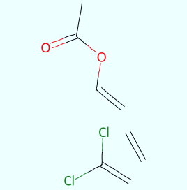 C=C.C=C(Cl)Cl.C=COC(C)=O